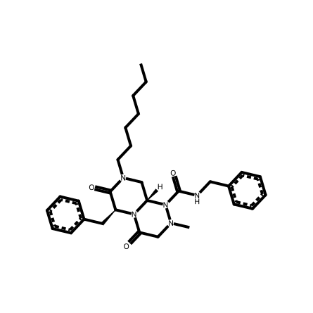 CCCCCCCN1C[C@H]2N(C(=O)CN(C)N2C(=O)NCc2ccccc2)[C@@H](Cc2ccccc2)C1=O